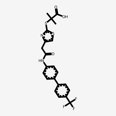 CC(C)(Sc1nc(CC(=O)Nc2ccc(-c3ccc(C(F)(F)F)cc3)cc2)cs1)C(=O)O